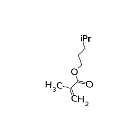 C=C(C)C(=O)OCCCC(C)C